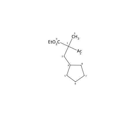 CCOC(=O)C(C)(CC1CCCC1)C(C)=O